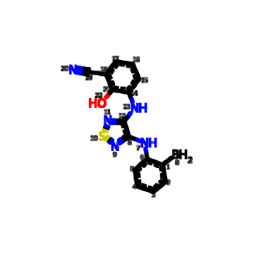 Bc1ccccc1Nc1nsnc1Nc1cccc(C#N)c1O